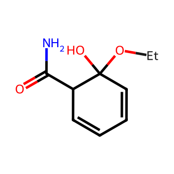 CCOC1(O)C=CC=CC1C(N)=O